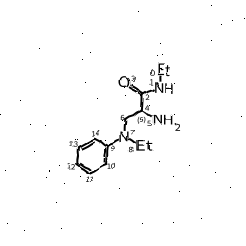 CCNC(=O)[C@@H](N)CN(CC)c1ccccc1